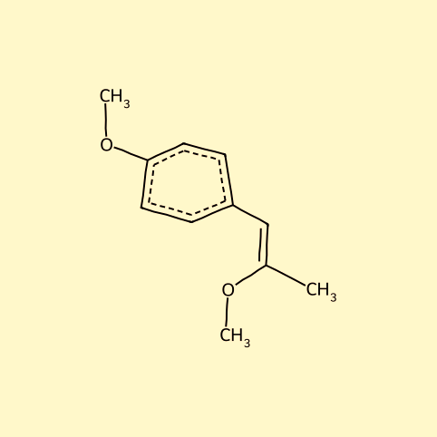 COC(C)=Cc1ccc(OC)cc1